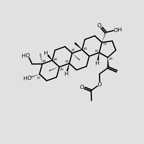 C=C(COC(C)=O)[C@@H]1CC[C@]2(C(=O)O)CC[C@]3(C)C(CC[C@@H]4[C@@]5(C)CC[C@H](O)[C@@](C)(CO)[C@@H]5CC[C@]43C)[C@@H]12